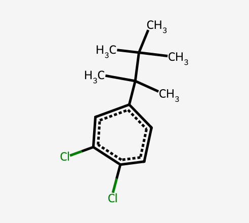 CC(C)(C)C(C)(C)c1ccc(Cl)c(Cl)c1